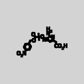 CC(C)(O/N=S1/C=C(CC(=O)O)N=C1N)C(=O)OCc1ccc([N+](=O)[O-])cc1